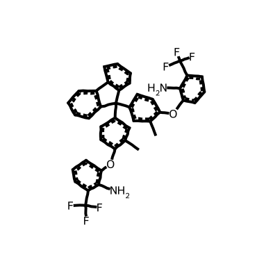 Cc1cc(C2(c3ccc(Oc4cccc(C(F)(F)F)c4N)c(C)c3)c3ccccc3-c3ccccc32)ccc1Oc1cccc(C(F)(F)F)c1N